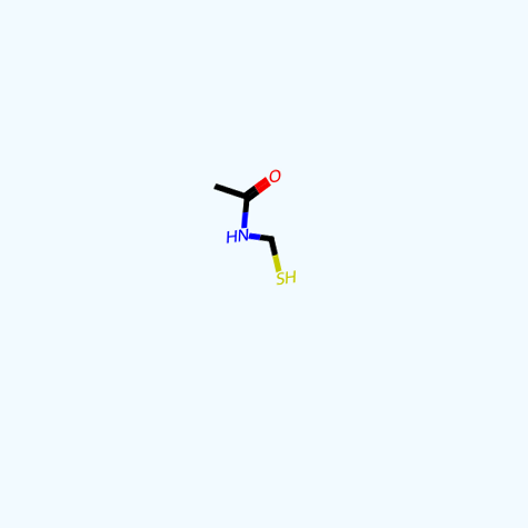 CC(=O)NCS